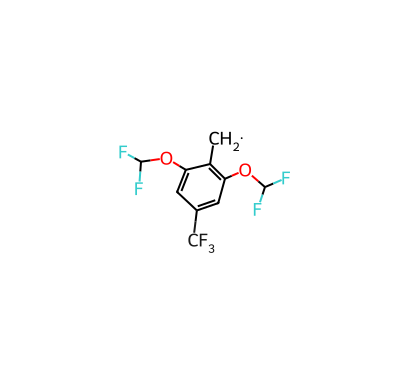 [CH2]c1c(OC(F)F)cc(C(F)(F)F)cc1OC(F)F